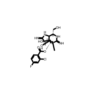 CC1[C@H](OC(=O)c2ccc(F)cc2Cl)C(O)(O)[C@]23NC(=N)NC2[C@H](CO)NC(=N)N13